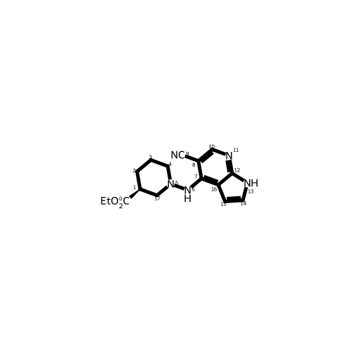 CCOC(=O)[C@H]1CCCN(Nc2c(C#N)cnc3[nH]ccc23)C1